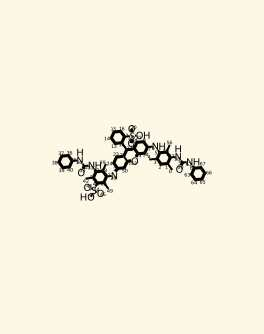 Cc1cc(C)c(Nc2ccc3c(-c4ccccc4S(=O)(=O)O)c4cc/c(=N\c5c(C)c(NC(=O)Nc6ccccc6)c(C)c(S(=O)(=O)O)c5C)cc-4oc3c2)c(C)c1NC(=O)Nc1ccccc1